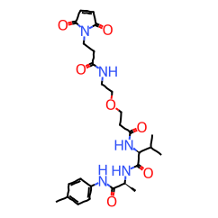 Cc1ccc(NC(=O)[C@H](C)NC(=O)[C@@H](NC(=O)CCOCCNC(=O)CCN2C(=O)C=CC2=O)C(C)C)cc1